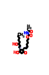 CCCCC[C@H](O)/C=C/[C@H]1[C@H](O)CC(=O)[C@@H]1C/C=C\CCCCOC(=O)NC(C)=O